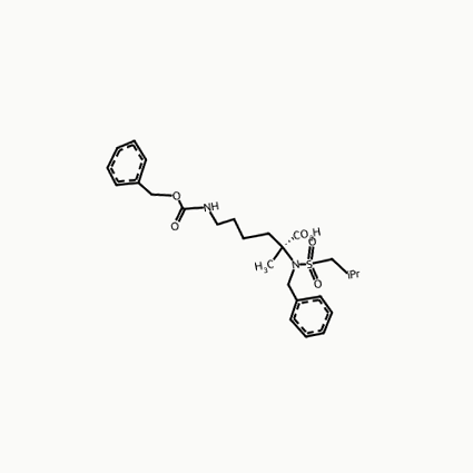 CC(C)CS(=O)(=O)N(Cc1ccccc1)[C@@](C)(CCCCNC(=O)OCc1ccccc1)C(=O)O